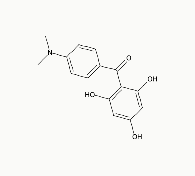 CN(C)c1ccc(C(=O)c2c(O)cc(O)cc2O)cc1